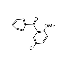 COc1ccc(Cl)cc1C(=O)c1ccccc1